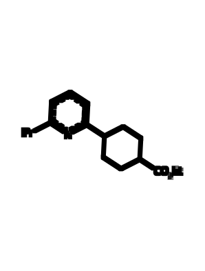 CCOC(=O)C1CCC(c2cccc(C(C)C)n2)CC1